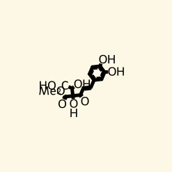 COC(=O)C(O)(C(=O)C=Cc1ccc(O)c(O)c1)C(O)C(=O)O